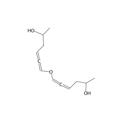 CC(O)CC=C=COC=C=CCC(C)O